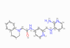 C/C=C\c1ccccc1/N=C/C(=O)Nc1ccnc(CNc2cccnc2N)c1